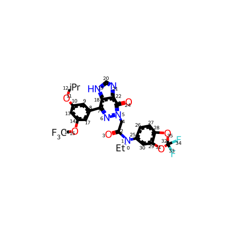 CCN(C(=O)Cn1nc(-c2cc(OC(C)C)cc(OC(F)(F)F)c2)c2[nH]cnc2c1=O)c1ccc2c(c1)OC(F)(F)O2